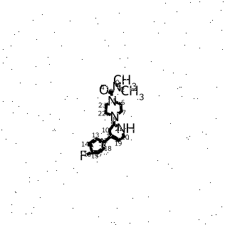 CN(C)C(=O)N1CCN(C2CC(c3ccc(F)cc3)=CCN2)CC1